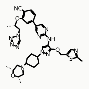 Cc1ncc(COc2nn(C3CCC(N4C[C@@H](C)O[C@@H](C)C4)CC3)cc2Nc2ncc(-c3ccc(C#N)c(O[C@@H](C)Cn4cnnn4)c3)cn2)s1